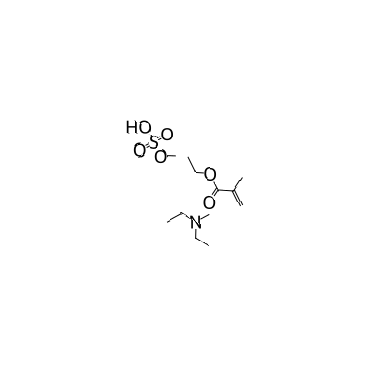 C=C(C)C(=O)OCC.CCN(C)CC.COS(=O)(=O)O